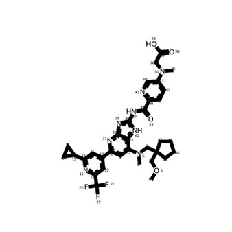 COCC1(CN(C)c2cc(-c3cc(C4CC4)nc(C(F)(F)F)c3)nc3nc(NC(=O)c4ccc(N(C)CC(=O)O)cn4)[nH]c23)CCCC1